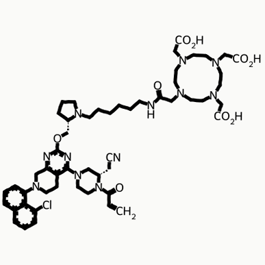 C=CC(=O)N1CCN(c2nc(OC[C@@H]3CCCN3CCCCCCNC(=O)CN3CCN(CC(=O)O)CCN(CC(=O)O)CCN(CC(=O)O)CC3)nc3c2CCN(c2cccc4cccc(Cl)c24)C3)C[C@@H]1CC#N